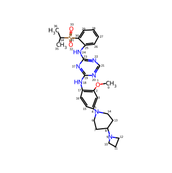 COc1cc(N2CCC(N3CCC3)CC2)ccc1Nc1ncnc(Nc2ccccc2S(=O)(=O)C(C)C)n1